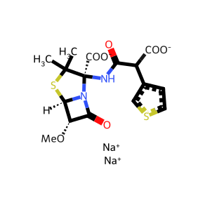 CO[C@H]1C(=O)N2[C@@H]1SC(C)(C)[C@]2(NC(=O)C(C(=O)[O-])c1ccsc1)C(=O)[O-].[Na+].[Na+]